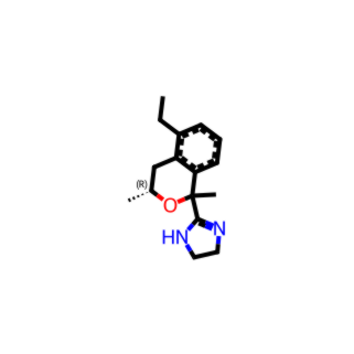 CCc1cccc2c1C[C@@H](C)OC2(C)C1=NCCN1